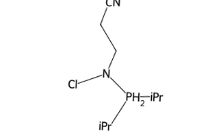 CC(C)[PH2](C(C)C)N(Cl)CCC#N